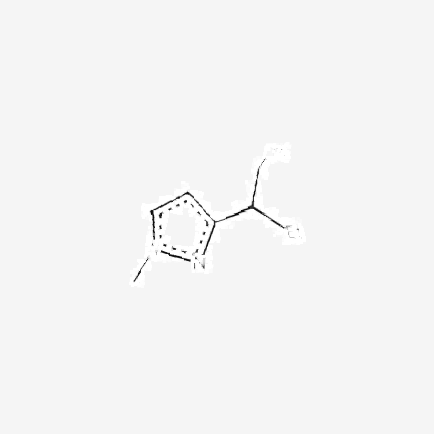 CCC(c1ccn(C)n1)C(C)C